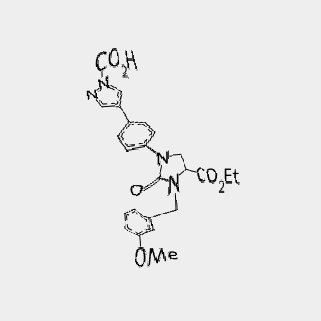 CCOC(=O)C1CN(c2ccc(-c3cnn(C(=O)O)c3)cc2)C(=O)N1Cc1cccc(OC)c1